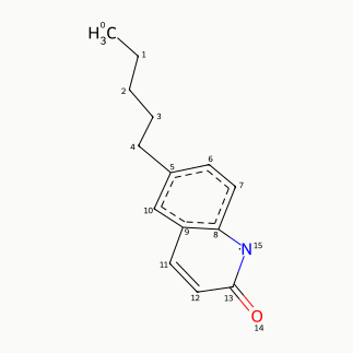 CCCCCc1ccc2c(c1)C=CC(=O)[N]2